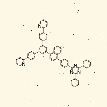 C[C@@H]1CC(c2cc(-c3ccc(-c4ccccn4)cc3)cc(-c3ccc(-c4ccc(-c5nc(-c6ccccc6)nc(-c6ccccc6)n5)cc4)c4ccccc34)c2)=CC=C1c1ccccn1